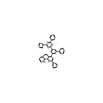 c1ccc(-c2cc(-c3nc(-c4ccccc4)nc(-c4ccccc4)n3)cc(-c3cc(-c4ccccc4)nc4c3ccc3cccnc34)c2)cc1